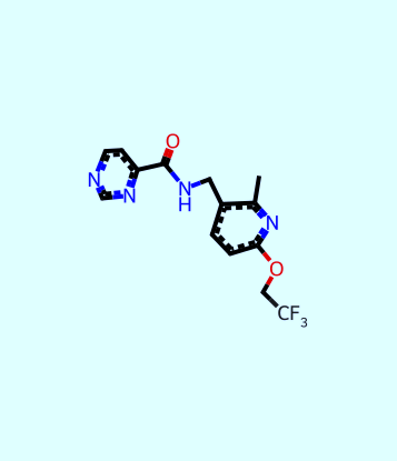 Cc1nc(OCC(F)(F)F)ccc1CNC(=O)c1ccncn1